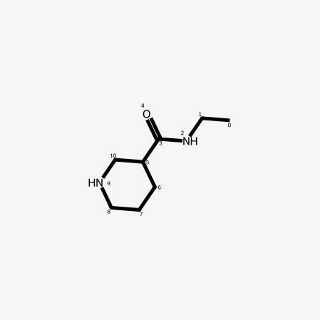 CCNC(=O)C1CCCNC1